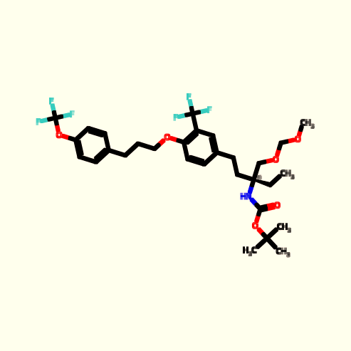 CC[C@@](CCc1ccc(OCCCc2ccc(OC(F)(F)F)cc2)c(C(F)(F)F)c1)(COCOC)NC(=O)OC(C)(C)C